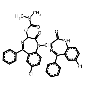 CN(C)C(=O)OC1N=C(c2ccccc2)c2cc(Cl)ccc2N(C)C1=O.O=C1CN=C(c2ccccc2)c2cc(Cl)ccc2N1